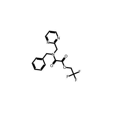 O=C(OCC(F)(F)F)C(=O)N(Cc1ccccc1)Cc1ncccn1